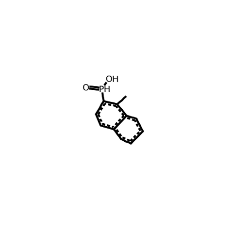 Cc1c([PH](=O)O)ccc2ccccc12